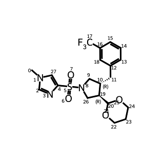 Cn1cnc(S(=O)(=O)N2C[C@H](Cc3cccc(C(F)(F)F)c3)[C@@H](C3OCCCO3)C2)c1